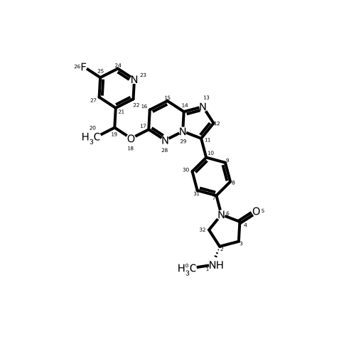 CN[C@H]1CC(=O)N(c2ccc(-c3cnc4ccc(OC(C)c5cncc(F)c5)nn34)cc2)C1